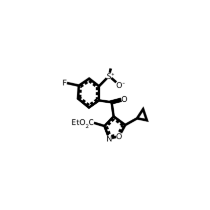 CCOC(=O)c1noc(C2CC2)c1C(=O)c1ccc(F)cc1[S+](C)[O-]